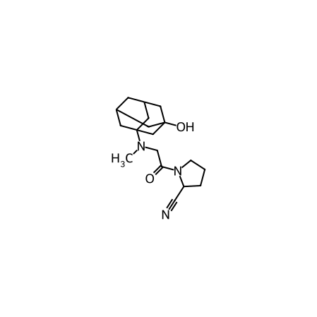 CN(CC(=O)N1CCCC1C#N)C12CC3CC(CC(O)(C3)C1)C2